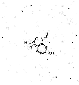 C=COc1ccccc1S(=O)(=O)O.[KH]